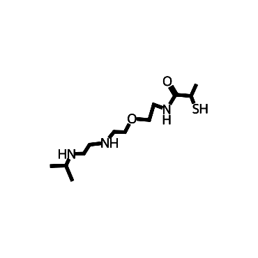 CC(C)NCCNCCOCCNC(=O)C(C)S